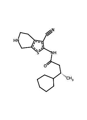 C[C@@H](CC(=O)Nc1sc2c(c1C#N)CCNC2)C1CCCCC1